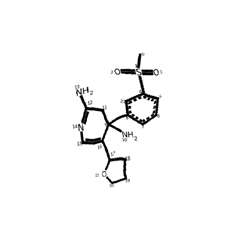 CS(=O)(=O)c1cccc(C2(N)CC(N)=NC=C2C2CCCO2)c1